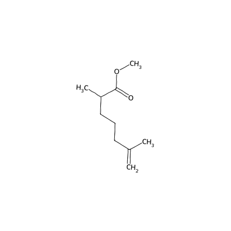 C=C(C)CCCC(C)C(=O)OC